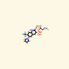 CCC(C)OP(=O)(O)c1cc2cc(-n3cccc3)c(C(F)(F)F)cc2[nH]c1=O